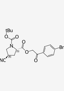 CC(C)(C)OC(=O)N1C[C@H](C#N)C[C@H]1C(=O)OCC(=O)c1ccc(Br)cc1